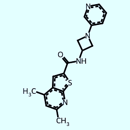 Cc1cc(C)c2cc(C(=O)NC3CN(c4cccnc4)C3)sc2n1